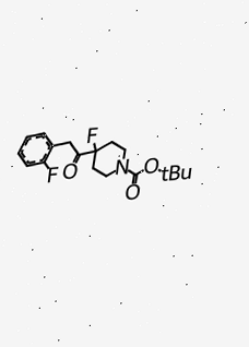 CC(C)(C)OC(=O)N1CCC(F)(C(=O)Cc2ccccc2F)CC1